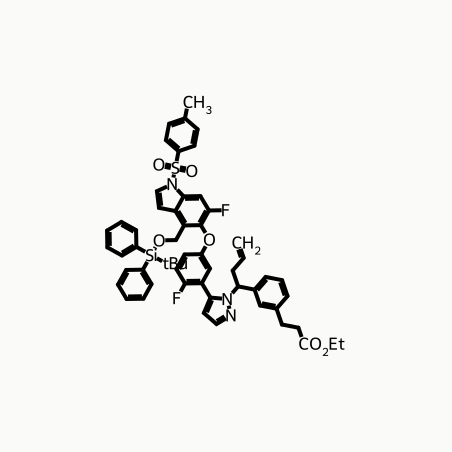 C=CCC(c1cccc(CCC(=O)OCC)c1)n1nccc1-c1cc(Oc2c(F)cc3c(ccn3S(=O)(=O)c3ccc(C)cc3)c2CO[Si](c2ccccc2)(c2ccccc2)C(C)(C)C)ccc1F